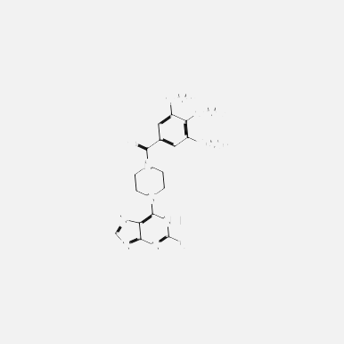 COc1cc(C(=O)N2CCN(c3[nH]c(Cl)nc4ncnc3-4)CC2)cc(OC)c1OC